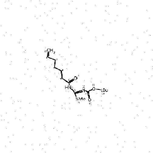 C=CCCCCC(=O)N/C(=N/C(=O)OC(C)(C)C)SC